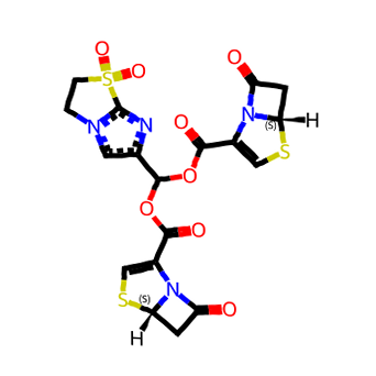 O=C(OC(OC(=O)C1=CS[C@H]2CC(=O)N12)c1cn2c(n1)S(=O)(=O)CC2)C1=CS[C@H]2CC(=O)N12